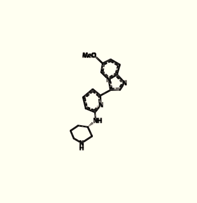 COc1ccc2ncc(-c3cccc(N[C@H]4CCCNC4)n3)n2c1